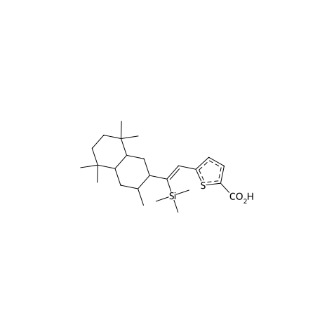 CC1CC2C(CC1C(=Cc1ccc(C(=O)O)s1)[Si](C)(C)C)C(C)(C)CCC2(C)C